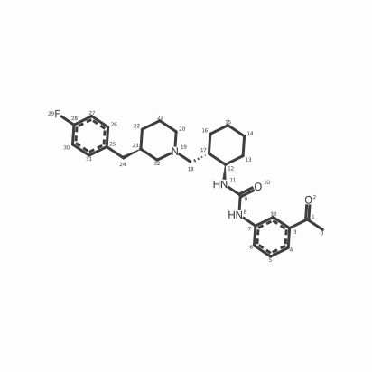 CC(=O)c1cccc(NC(=O)N[C@@H]2CCCC[C@H]2CN2CCC[C@H](Cc3ccc(F)cc3)C2)c1